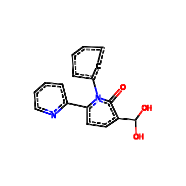 O=c1c(C(O)O)ccc(-c2ccccn2)n1-c1ccccc1